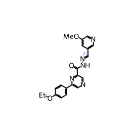 CCOc1ccc(-c2cncc(C(=O)N/N=C/c3cncc(OC)c3)n2)cc1